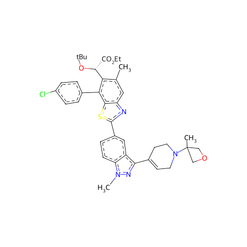 CCOC(=O)[C@@H](OC(C)(C)C)c1c(C)cc2nc(-c3ccc4c(c3)c(C3=CCN(C5(C)COC5)CC3)nn4C)sc2c1-c1ccc(Cl)cc1